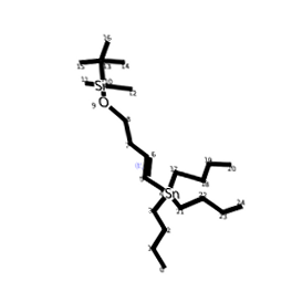 CCC[CH2][Sn](/[CH]=C/CCO[Si](C)(C)C(C)(C)C)([CH2]CCC)[CH2]CCC